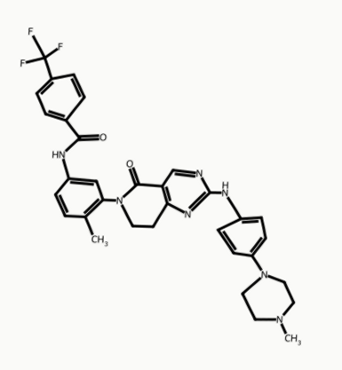 Cc1ccc(NC(=O)c2ccc(C(F)(F)F)cc2)cc1N1CCc2nc(Nc3ccc(N4CCN(C)CC4)cc3)ncc2C1=O